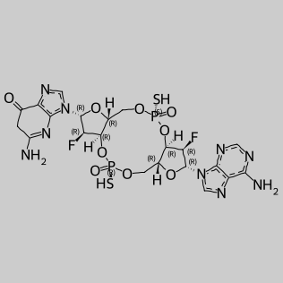 NC1=Nc2c(ncn2[C@@H]2O[C@@H]3CO[P@](=O)(S)O[C@H]4[C@@H](F)[C@H](n5cnc6c(N)ncnc65)O[C@@H]4CO[P@@](=O)(S)O[C@H]3[C@H]2F)C(=O)C1